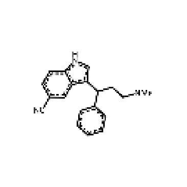 CNCCC(c1ccccc1)c1c[nH]c2ccc(C#N)cc12